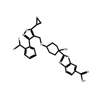 O=C(O)c1ccc2nc(C3(O)CCC(OCc4c(-c5ccccc5C(F)F)noc4C4CC4)CC3)sc2c1